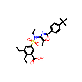 CCc1cc(S(=O)(=O)N(CC)c2nc(-c3ccc(C(C)(C)C)cc3)oc2C)cc(C(=O)O)c1CC